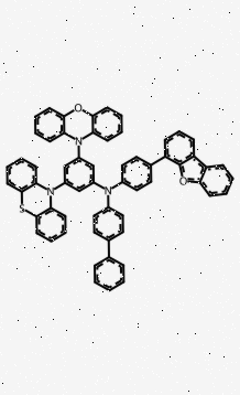 c1ccc(-c2ccc(N(c3ccc(-c4cccc5c4oc4ccccc45)cc3)c3cc(N4c5ccccc5Oc5ccccc54)cc(N4c5ccccc5Sc5ccccc54)c3)cc2)cc1